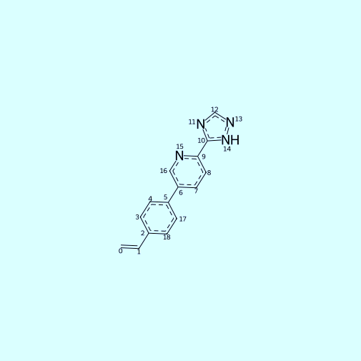 C=Cc1ccc(-c2ccc(-c3ncn[nH]3)nc2)cc1